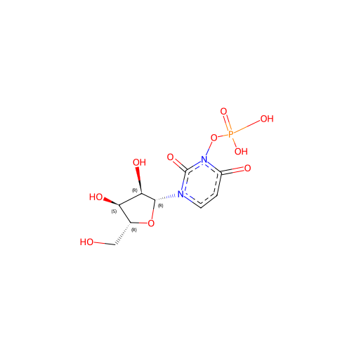 O=c1ccn([C@@H]2O[C@H](CO)[C@@H](O)[C@H]2O)c(=O)n1OP(=O)(O)O